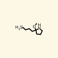 COC1(CCC[SiH3])CCCN1